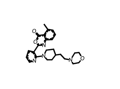 Cc1cccc2nc(-c3cccnc3N3CCC(CCN4CCOCC4)CC3)oc(=O)c12